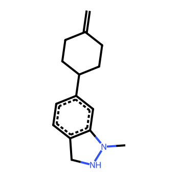 C=C1CCC(c2ccc3c(c2)N(C)NC3)CC1